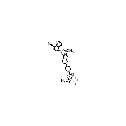 C[C@@H]1CN(c2ccc(C#N)c3ncccc23)CC2=C3CC=C(C4CCN(C(=O)OC(C)(C)C)CC4)C=C3CN21